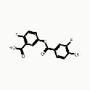 O=C(Oc1ccc(F)c(C(=O)O)c1)c1ccc(O)c(F)c1